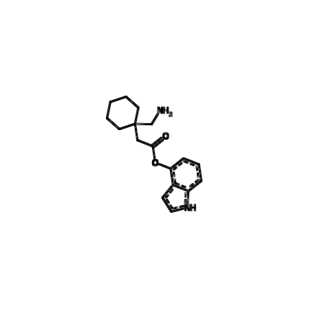 NCC1(CC(=O)Oc2cccc3[nH]ccc23)CCCCC1